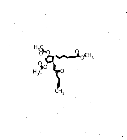 CC#CCCC(=O)C=C[C@@H]1[C@@H](CCCCCCC(=O)OC)[C@@H](OC(C)=O)C[C@H]1OC(C)=O